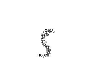 CC(C)(c1ccc(Oc2ccc(C(=O)C(=O)C(=O)NN)cn2)cc1)c1ccc(O[C@H]2C[C@H](NC(=O)O)C2)cc1